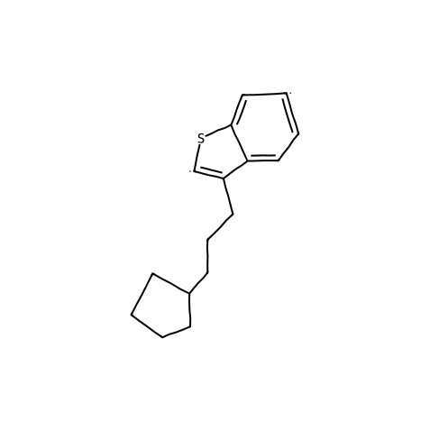 [c]1ccc2c(CCCC3CCCC3)[c]sc2c1